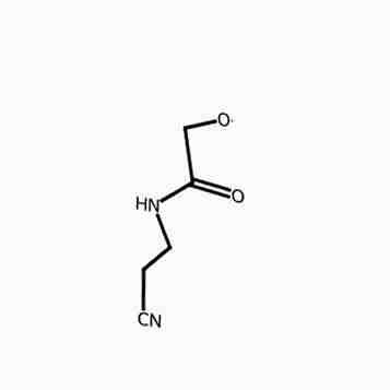 N#CCCNC(=O)C[O]